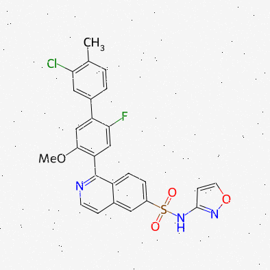 COc1cc(-c2ccc(C)c(Cl)c2)c(F)cc1-c1nccc2cc(S(=O)(=O)Nc3ccon3)ccc12